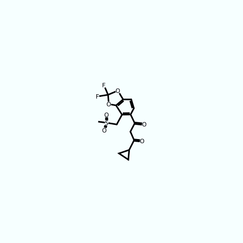 CS(=O)(=O)Cc1c(C(=O)CC(=O)C2CC2)ccc2c1OC(F)(F)O2